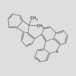 CC1(C)c2ccccc2-c2cccc(-c3ccc4cccc5c4c3-c3ccccc3S5)c21